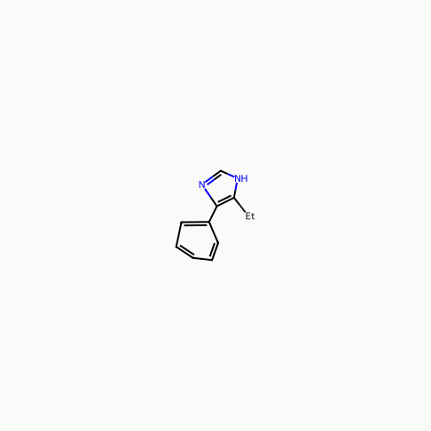 [CH2]Cc1[nH]cnc1-c1ccccc1